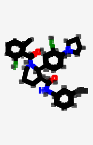 Cc1cccc(F)c1C(=O)N1CCC[C@H](C(=O)Nc2cccc(C(C)(C)C)c2)[C@@H]1c1ccc(N2CCCC2)c(F)c1